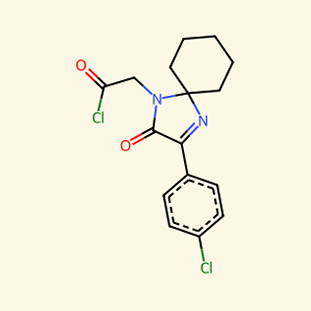 O=C(Cl)CN1C(=O)C(c2ccc(Cl)cc2)=NC12CCCCC2